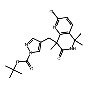 CC(C)(C)OC(=O)n1cc(CC2(C)C(=O)NC(C)(C)c3ccc(Cl)nc32)cn1